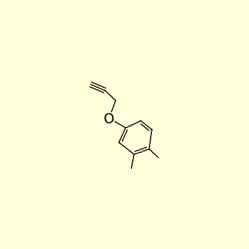 C#CCOc1ccc(C)c(C)c1